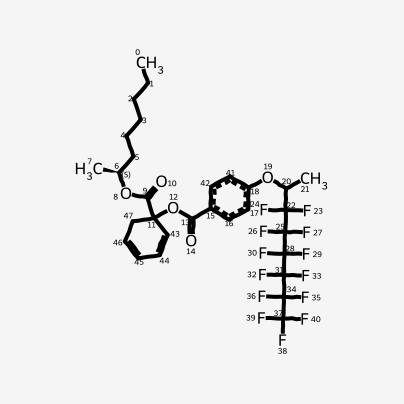 CCCCCC[C@H](C)OC(=O)C1(OC(=O)c2ccc(OC(C)C(F)(F)C(F)(F)C(F)(F)C(F)(F)C(F)(F)C(F)(F)F)cc2)C=CC=CC1